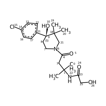 CC(C)(CC(=O)N1CC[C@](O)(c2ccc(Cl)cc2)C(C)(C)C1)NC(=O)CO